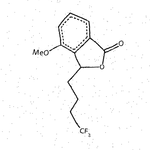 COc1cccc2c1C(CCCC(F)(F)F)OC2=O